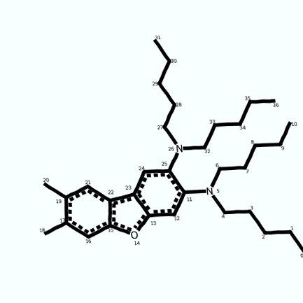 CCCCCN(CCCCC)c1cc2oc3cc(C)c(C)cc3c2cc1N(CCCCC)CCCCC